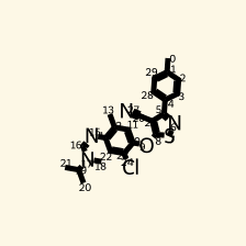 Cc1ccc(-c2nsc(Oc3cc(C)c(/N=C\N(C)C(C)C)cc3Cl)c2C#N)cc1